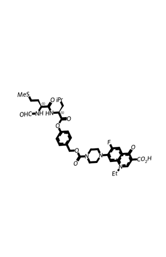 CCn1cc(C(=O)O)c(=O)c2cc(F)c(N3CCN(C(=O)OCc4ccc(OC(=O)[C@H](CC(C)C)NC(=O)[C@H](CCSC)NC=O)cc4)CC3)cc21